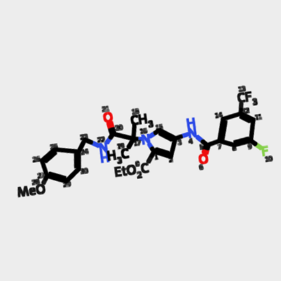 CCOC(=O)c1cc(NC(=O)c2cc(F)cc(C(F)(F)F)c2)cn1C(C)(C)C(=O)NCc1ccc(OC)cc1